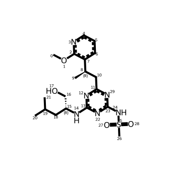 COc1ncccc1[C@H](C)Cc1nc(N[C@@H](CO)CC(C)C)nc(NS(C)(=O)=O)n1